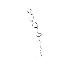 CCCCCCCCCCCCCCCCCCOc1ccc(C=Nc2ccc(-c3cnc(-c4ccncc4)nc3)cc2)cc1